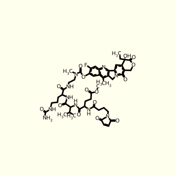 CC[C@@]1(O)C(=O)OCc2c1cc1n(c2=O)Cc2c-1nc1cc(F)c(OC(=O)N(C)CCNC(=O)C(CCCNC(N)=O)NC(=O)C(NC(=O)C(CCC(=O)OC)NC(=O)CCCN3C(=O)C=CC3=O)C(C)C)cc1c2C